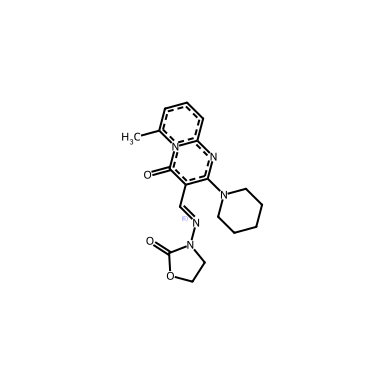 Cc1cccc2nc(N3CCCCC3)c(/C=N/N3CCOC3=O)c(=O)n12